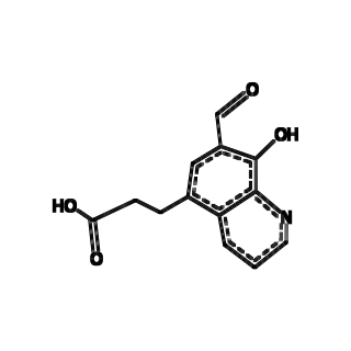 O=Cc1cc(CCC(=O)O)c2cccnc2c1O